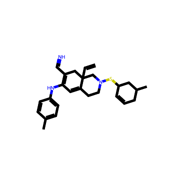 C=CC12CC(C=N)=C(Nc3ccc(C)cc3)C=C1CCN(SC1C=CCC(C)C1)C2